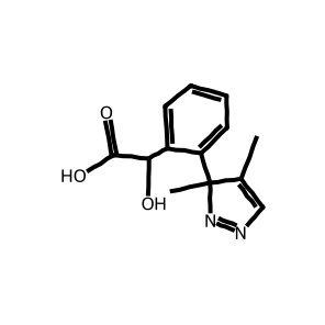 CC1=CN=NC1(C)c1ccccc1C(O)C(=O)O